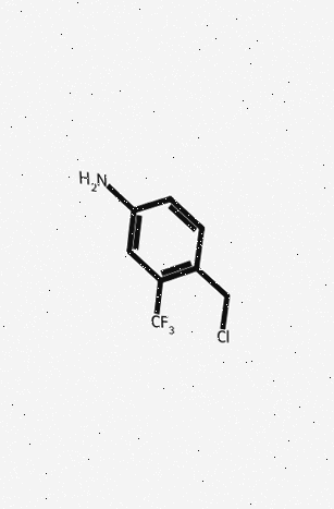 Nc1ccc(CCl)c(C(F)(F)F)c1